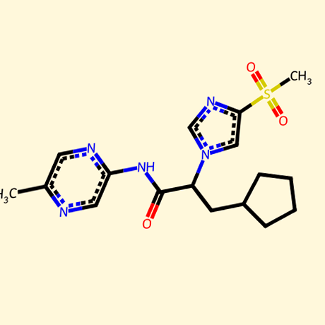 Cc1cnc(NC(=O)C(CC2CCCC2)n2cnc(S(C)(=O)=O)c2)cn1